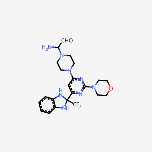 NC(C=O)N1CCN(c2cc(C3(C(F)(F)F)Nc4ccccc4N3)nc(N3CCOCC3)n2)CC1